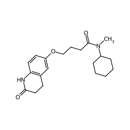 CN(C(=O)CCCOc1ccc2c(c1)CCC(=O)N2)C1CCCCC1